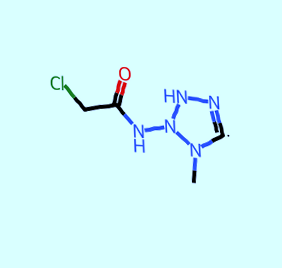 CN1[C]=NNN1NC(=O)CCl